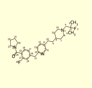 CC(C)(F)CN1CCC(CCc2ccc(Cc3ccc(C(=O)N4CCCC4)c(F)c3)nc2)CC1